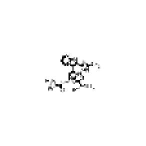 CC(C)[C@H](N)C(=O)OCn1cnc(-c2c(-c3nc(C(F)(F)F)nn3COC(=O)[C@@H](N)C(C)C)nc3ncccn23)c1